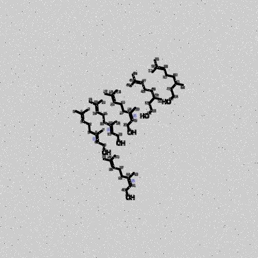 CC(C)=CCC/C(C)=C/CO.CC(C)=CCC/C(C)=C/CO.CC(C)=CCC/C(C)=C\CO.CC(C)=CCC/C(C)=C\CO.CC(C)=CCCC(C)CCO.CC(C)=CCCC(C)CCO